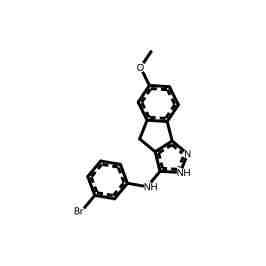 COc1ccc2c(c1)Cc1c-2n[nH]c1Nc1cccc(Br)c1